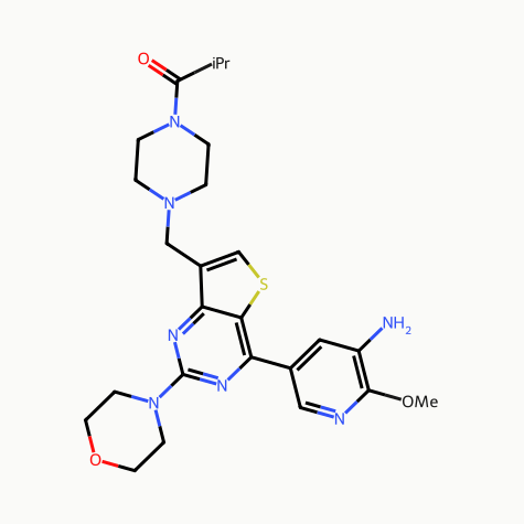 COc1ncc(-c2nc(N3CCOCC3)nc3c(CN4CCN(C(=O)C(C)C)CC4)csc23)cc1N